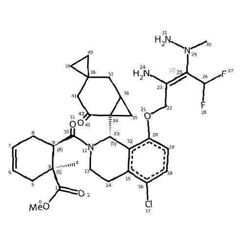 COC(=O)[C@@]1(C)CC=CC[C@H]1C(=O)N1CCc2c(Cl)ccc(OC/C(N)=C(\C(F)F)N(C)N)c2[C@H]1C12CC1CC1(CC1)CC2=O